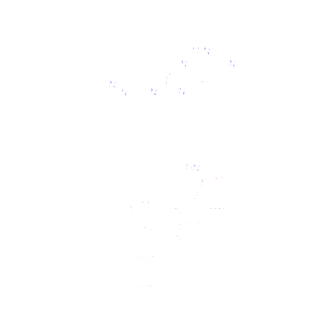 C#Cc1cc(OCc2ccccc2)c(C2OCCO2)cc1C(=O)N[C@H]1CCc2cc(-n3c(-c4cccnc4N)nc4ccc(-n5cccn5)nc43)ccc21